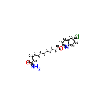 CC(C=CCCCCCCCOc1ccc2cc(Cl)ccc2n1)=CC(N)=O